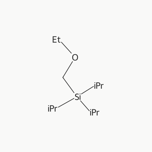 CCOC[Si](C(C)C)(C(C)C)C(C)C